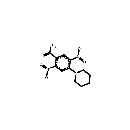 CC(=O)c1cc([N+](=O)[O-])c(N2CCCCC2)cc1[N+](=O)[O-]